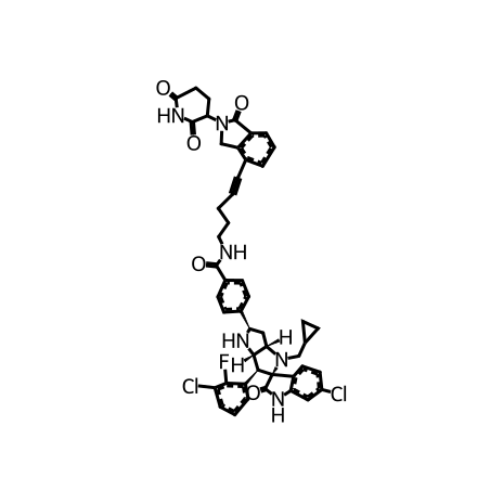 O=C1CCC(N2Cc3c(C#CCCCNC(=O)c4ccc([C@H]5C[C@H]6[C@@H](N5)[C@H](c5cccc(Cl)c5F)[C@]5(C(=O)Nc7cc(Cl)ccc75)N6CC5CC5)cc4)cccc3C2=O)C(=O)N1